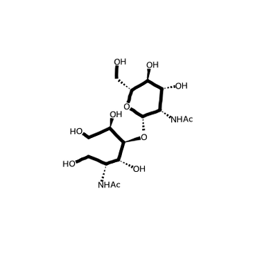 CC(=O)N[C@@H]1[C@H](O[C@@H]([C@H](O)[C@@H](CO)NC(C)=O)[C@H](O)CO)O[C@H](CO)[C@@H](O)[C@@H]1O